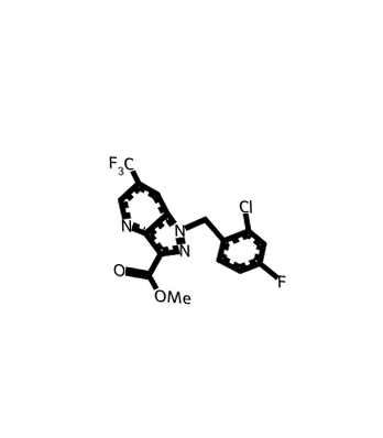 COC(=O)c1nn(Cc2ccc(F)cc2Cl)c2cc(C(F)(F)F)cnc12